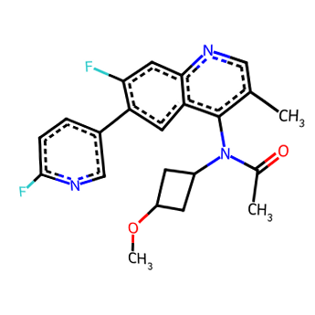 COC1CC(N(C(C)=O)c2c(C)cnc3cc(F)c(-c4ccc(F)nc4)cc23)C1